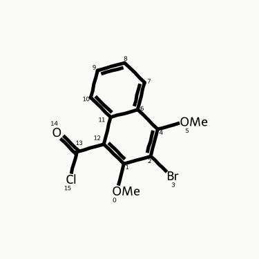 COc1c(Br)c(OC)c2ccccc2c1C(=O)Cl